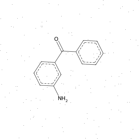 Nc1cccc(C(=O)c2cc[c]cc2)c1